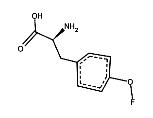 N[C@@H](Cc1ccc(OF)cc1)C(=O)O